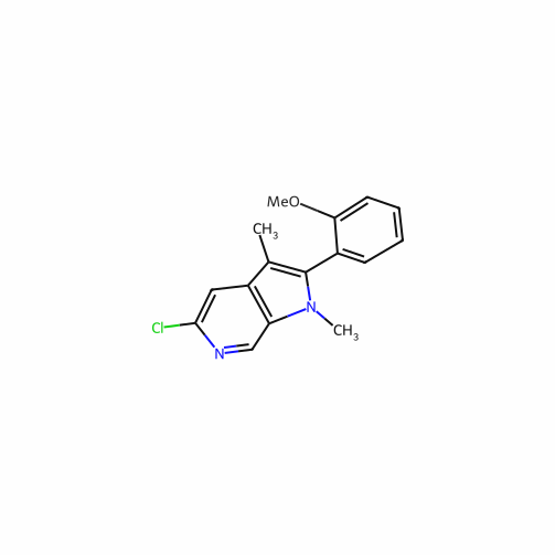 COc1ccccc1-c1c(C)c2cc(Cl)ncc2n1C